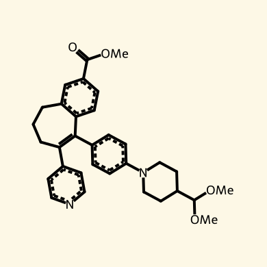 COC(=O)c1ccc2c(c1)CCCC(c1ccncc1)=C2c1ccc(N2CCC(C(OC)OC)CC2)cc1